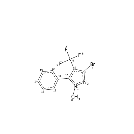 Cn1nc(Br)c(C(F)(F)F)c1-c1ccccc1